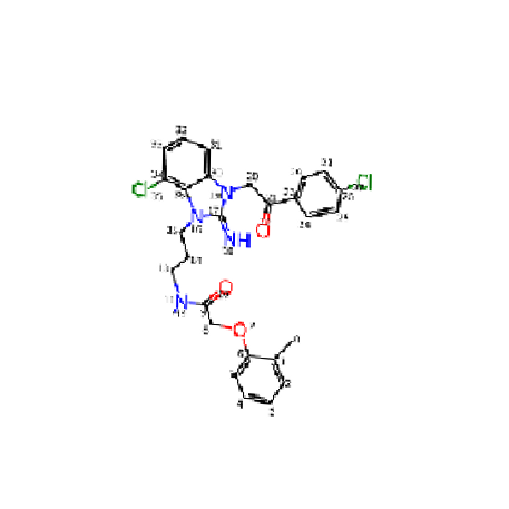 Cc1ccccc1OCC(=O)N(C)CCCn1c(=N)n(CC(=O)c2ccc(Cl)cc2)c2cccc(Cl)c21